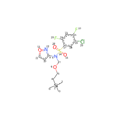 C[Si](C)(C)CCOCN(c1ccon1)S(=O)(=O)c1cc(Cl)c(F)cc1F